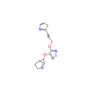 C(#Cc1nccs1)COc1nsnc1OC1CN2CCC1C2